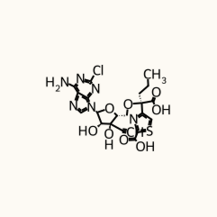 C#C[C@@]1(O)[C@@H](CO[C@@](CCC)(C(=O)O)c2csc(C(=O)O)n2)O[C@@H](n2cnc3c(N)nc(Cl)nc32)[C@@H]1O